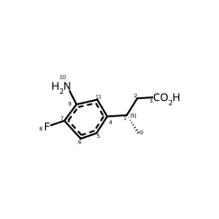 C[C@@H](CC(=O)O)c1ccc(F)c(N)c1